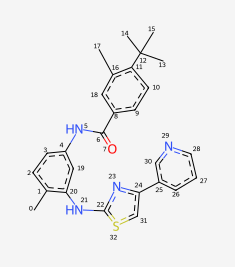 Cc1ccc(NC(=O)c2ccc(C(C)(C)C)c(C)c2)cc1Nc1nc(-c2cccnc2)cs1